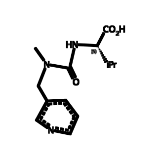 CC(C)[C@H](NC(=O)N(C)Cc1cccnc1)C(=O)O